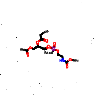 CCC(=O)OCC(COP(=O)(OC)OCCNC(=O)OC(C)(C)C)OC(=O)CC(C)C